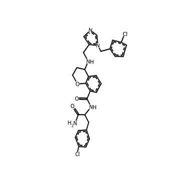 NC(=O)C(Cc1ccc(Cl)cc1)NC(=O)c1cccc2c1OCCC2NCc1cncn1Cc1cccc(Cl)c1